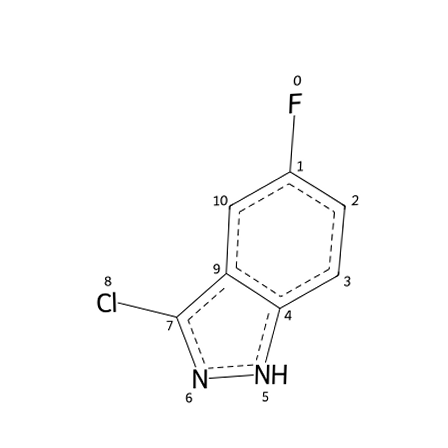 Fc1ccc2[nH]nc(Cl)c2c1